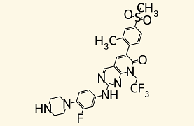 Cc1cc(S(C)(=O)=O)ccc1-c1cc2cnc(Nc3ccc(N4CCNCC4)c(F)c3)nc2n(CC(F)(F)F)c1=O